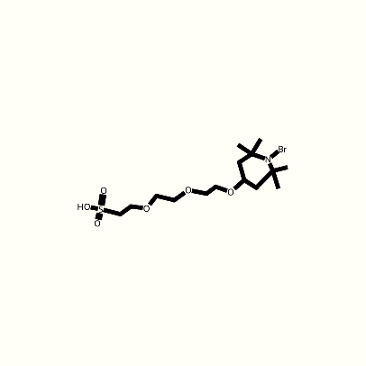 CC1(C)CC(OCCOCCOCCS(=O)(=O)O)CC(C)(C)N1Br